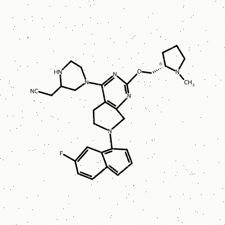 CN1CCC[C@H]1COc1nc2c(c(N3CCNC(CC#N)C3)n1)CCN(c1cccc3ccc(F)cc13)C2